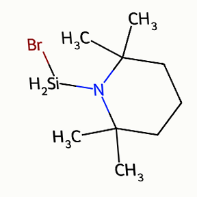 CC1(C)CCCC(C)(C)N1[SiH2]Br